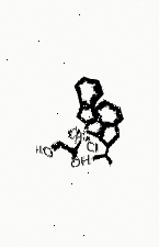 CC(C)C1=Cc2ccccc2[CH]1[Hf]([Cl])([Cl])([C]1=Cc2ccccc2C1)[CH](O)CO